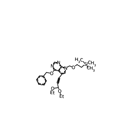 CCOC(C#Cc1cn(COCC[Si](C)(C)C)c2ncnc(OCc3ccccc3)c12)OCC